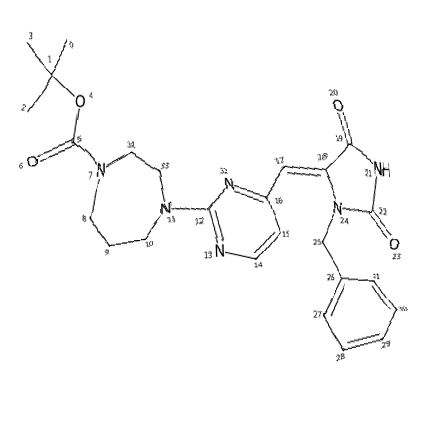 CC(C)(C)OC(=O)N1CCCN(c2nccc(C=C3C(=O)NC(=O)N3Cc3ccccc3)n2)CC1